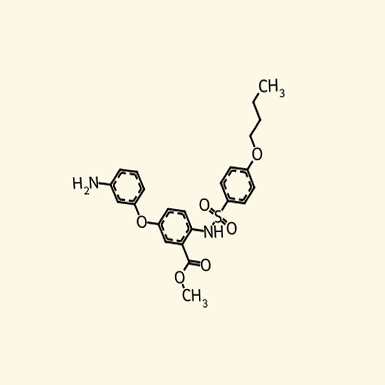 CCCCOc1ccc(S(=O)(=O)Nc2ccc(Oc3cccc(N)c3)cc2C(=O)OC)cc1